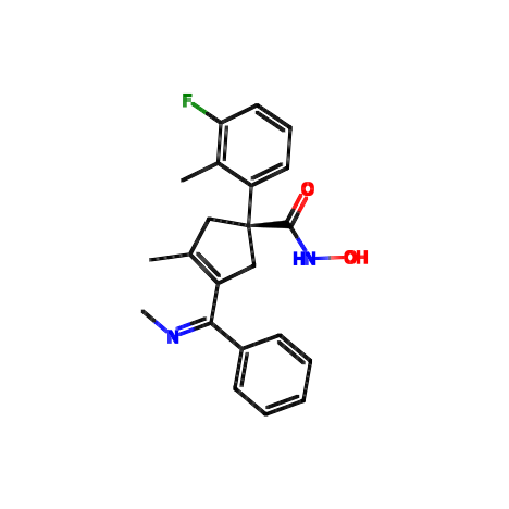 C/N=C(\C1=C(C)C[C@](C(=O)NO)(c2cccc(F)c2C)C1)c1ccccc1